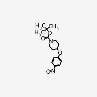 CC(C)(C)OC(=O)N1CCC(Oc2ccc(N=O)cc2)CC1